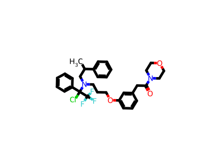 CC(CN(CCCOc1cccc(CC(=O)N2CCOCC2)c1)C(Cl)(c1ccccc1)C(F)(F)F)c1ccccc1